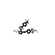 Cn1ncc(C#Cc2ccc(S(N)(=O)=O)cc2)c1-c1nnc(-c2ccc(C(F)(F)F)cc2)o1